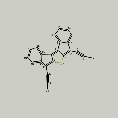 CC#CC1=c2sc3c(c2-c2ccccc21)-c1ccccc1C=3C#CC